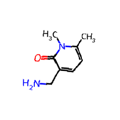 Cc1ccc(CN)c(=O)n1C